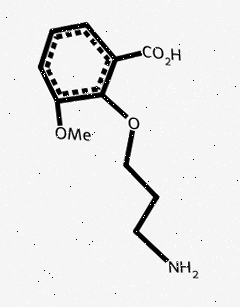 COc1cccc(C(=O)O)c1OCCCN